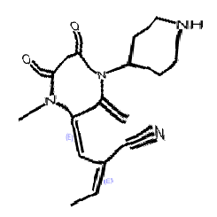 C=c1/c(=C\C(C#N)=C/C)n(C)c(=O)c(=O)n1C1CCNCC1